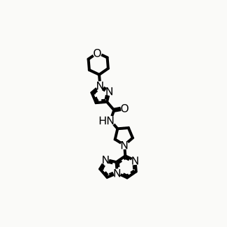 O=C(NC1CCN(c2nccn3ccnc23)C1)c1ccn(C2CCOCC2)n1